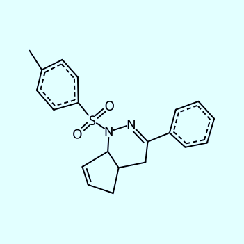 Cc1ccc(S(=O)(=O)N2N=C(c3ccccc3)CC3CC=CC32)cc1